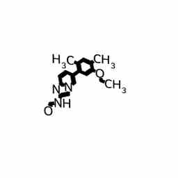 CCOc1cc(-c2ccc3nc(NC=O)cn3c2)c(C)cc1C